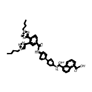 CCCCn1cc(-c2cc(C(=O)Nc3ccc(-c4ccc(NC(O)c5cccc6c(C(=O)O)cccc56)cc4)cc3)ccc2-c2nnn(CCCC)n2)nn1